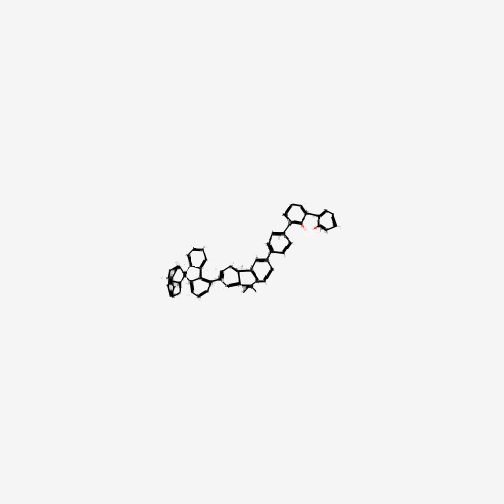 CC1(C)c2ccc(-c3ccc(-c4cccc5c4oc4ccccc45)cc3)cc2-c2ccc(-c3cccc4c3-c3ccccc3C43C4CC5CC(C4)C3C5)cc21